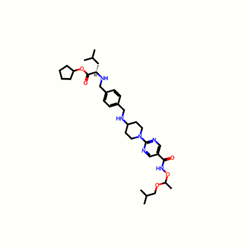 CC(C)COC(C)ONC(=O)c1cnc(N2CCC(NCc3ccc(CN[C@@H](CC(C)C)C(=O)OC4CCCC4)cc3)CC2)nc1